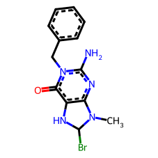 CN1c2nc(N)n(Cc3ccccc3)c(=O)c2NC1Br